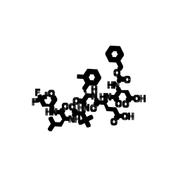 Cc1ccccc1C[C@H](NC(=O)[C@H](CCC(=O)O)NC(=O)[C@H](CC(=O)O)NC(=O)OCc1ccccc1)C(=O)N[C@H](C(=O)N[C@@H](CC(C)C)C(=O)N[C@H](C=O)CC(F)(F)F)C(C)(C)C